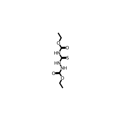 CCOC(=O)NNC(=S)NC(=O)OCC